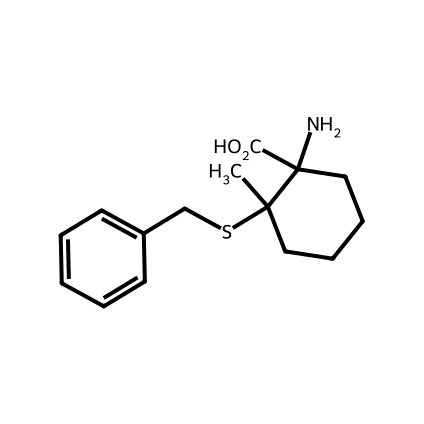 CC1(SCc2ccccc2)CCCCC1(N)C(=O)O